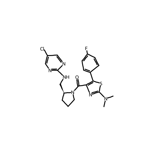 CN(C)c1nc(C(=O)N2CCC[C@H]2CNc2ncc(Cl)cn2)c(-c2ccc(F)cc2)s1